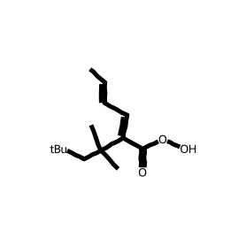 C/C=C/C=C(/C(=O)OO)C(C)(C)CC(C)(C)C